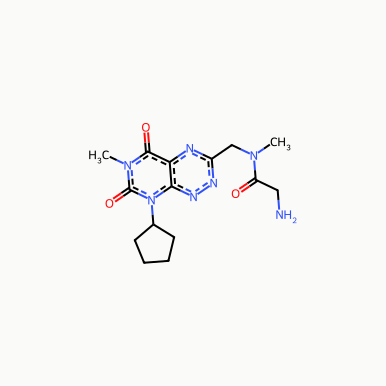 CN(Cc1nnc2c(n1)c(=O)n(C)c(=O)n2C1CCCC1)C(=O)CN